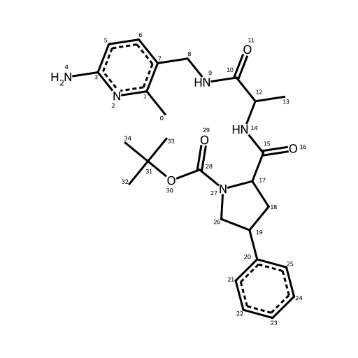 Cc1nc(N)ccc1CNC(=O)C(C)NC(=O)C1CC(c2ccccc2)CN1C(=O)OC(C)(C)C